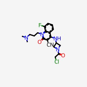 CN(C)CCCn1c(=O)c(C#N)c(NC2CN(C(=O)CCl)C2)c2cccc(F)c21